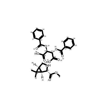 COC(=O)[C@H]1NC[C@H]2[C@@H]1C2(C)C.O=C(O[C@H](C(=O)O)[C@H](OC(=O)c1ccccc1)C(=O)O)c1ccccc1